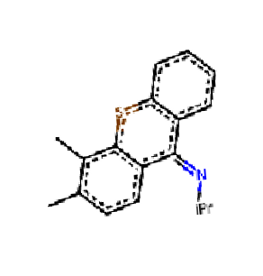 Cc1ccc2c(=NC(C)C)c3ccccc3sc2c1C